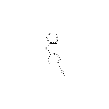 N#Cc1ccc(Pc2ccccc2)cc1